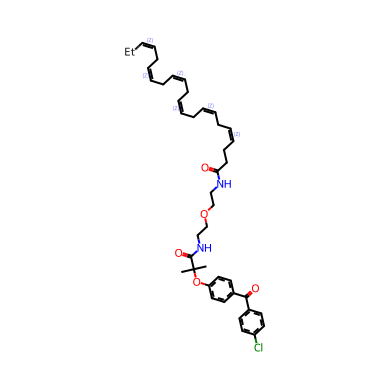 CC/C=C\C/C=C\C/C=C\C/C=C\C/C=C\C/C=C\CCC(=O)NCCOCCNC(=O)C(C)(C)Oc1ccc(C(=O)c2ccc(Cl)cc2)cc1